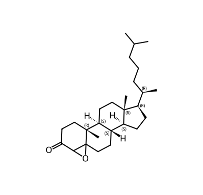 CC(C)CCC[C@@H](C)[C@H]1CC[C@H]2[C@@H]3CCC45OC4C(=O)CC[C@]5(C)[C@H]3CC[C@]12C